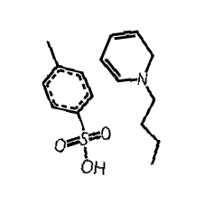 CCCCN1C=CC=CC1.Cc1ccc(S(=O)(=O)O)cc1